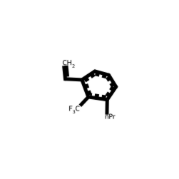 C=Cc1cccc(CCC)c1C(F)(F)F